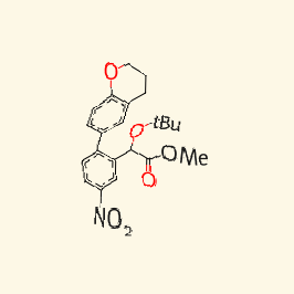 COC(=O)C(OC(C)(C)C)c1cc([N+](=O)[O-])ccc1-c1ccc2c(c1)CCCO2